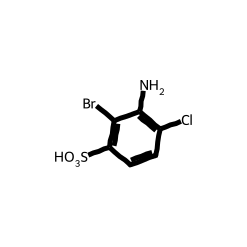 Nc1c(Cl)ccc(S(=O)(=O)O)c1Br